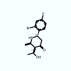 C=C1N[C@@H](c2ccc(F)cc2Br)CC(=O)/C1=C(/C)O